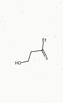 CCC(=S)CCO